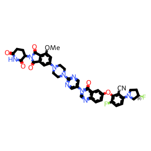 COc1cc(N2CCN(c3ncc(-n4cnc5ccc(Oc6c(F)ccc(N7CC[C@@H](F)C7)c6C#N)cc5c4=O)cn3)CC2)cc2c1C(=O)N(C1CCC(=O)NC1=O)C2=O